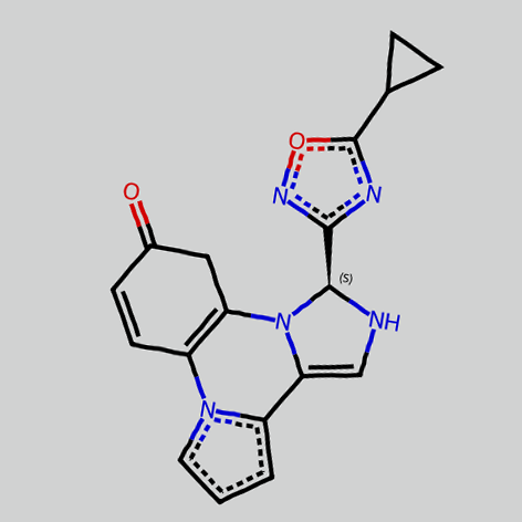 O=C1C=CC2=C(C1)N1C(=CN[C@@H]1c1noc(C3CC3)n1)c1cccn12